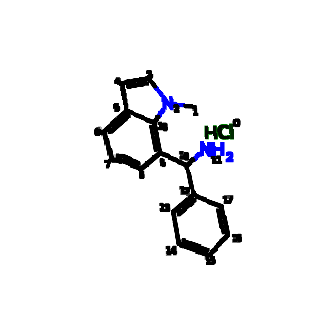 Cl.Cn1ccc2cccc(C(N)c3ccccc3)c21